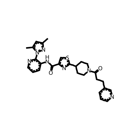 Cc1cc(C)n(-c2ncccc2NC(=O)c2csc(C3CCN(C(=O)CCc4cccnc4)CC3)n2)n1